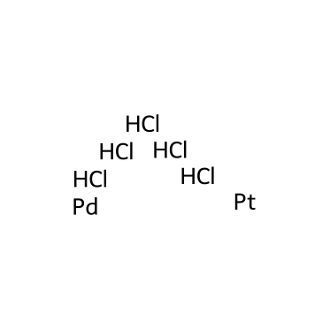 Cl.Cl.Cl.Cl.Cl.[Pd].[Pt]